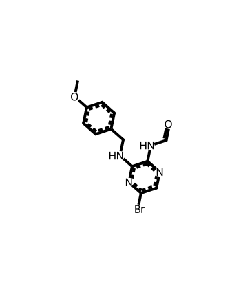 COc1ccc(CNc2nc(Br)cnc2NC=O)cc1